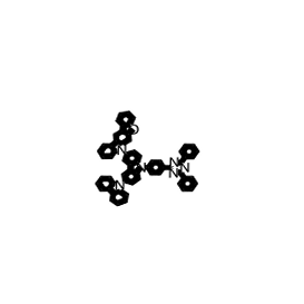 C1=CCC2=C3C=CC=CC3N(c3ccc4c(c3)c3cc(N5C6=Cc7oc8ccccc8c7CC6=C6C=CC=CC65)ccc3n4-c3ccc(-c4nc(-c5ccccc5)nc(-c5ccccc5)n4)cc3)C2=C1